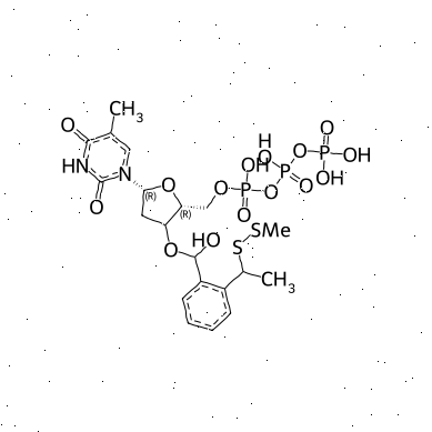 CSSC(C)c1ccccc1C(O)OC1C[C@H](n2cc(C)c(=O)[nH]c2=O)O[C@@H]1COP(=O)(O)OP(=O)(O)OP(=O)(O)O